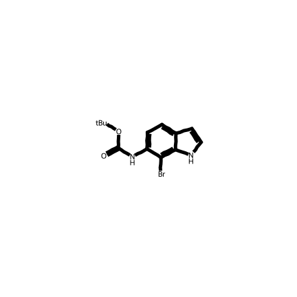 CC(C)(C)OC(=O)Nc1ccc2cc[nH]c2c1Br